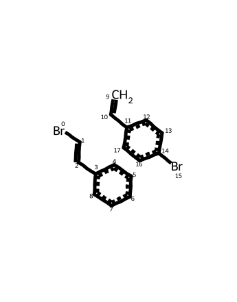 BrC=Cc1ccccc1.C=Cc1ccc(Br)cc1